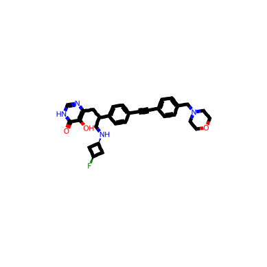 O=c1[nH]cnc(CC(CN[C@H]2C[C@H](F)C2)c2ccc(C#Cc3ccc(CN4CCOCC4)cc3)cc2)c1O